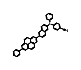 N#Cc1ccc(N(c2ccccc2)c2ccc3cc(-c4cc5ccc6cc(-c7ccccc7)cc7ccc(c4)c5c67)ccc3c2)cc1